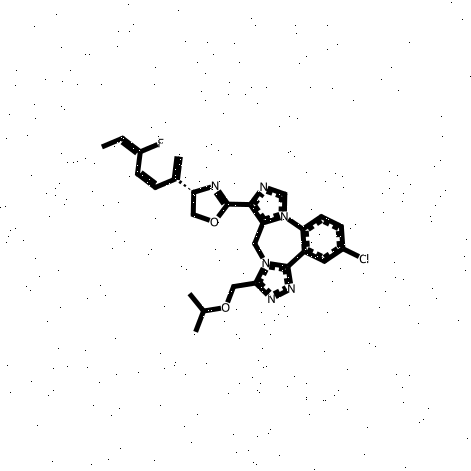 C=C(/C=C\C(F)=C/C)[C@H]1COC(c2ncn3c2Cn2c(COC(C)C)nnc2-c2cc(Cl)ccc2-3)=N1